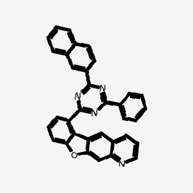 c1ccc(-c2nc(-c3ccc4ccccc4c3)nc(-c3cccc4oc5cc6ncccc6cc5c34)n2)cc1